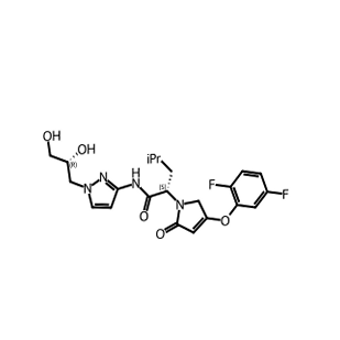 CC(C)C[C@@H](C(=O)Nc1ccn(C[C@@H](O)CO)n1)N1CC(Oc2cc(F)ccc2F)=CC1=O